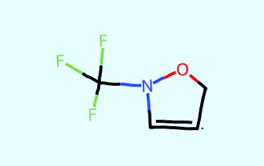 FC(F)(F)N1C=[C]CO1